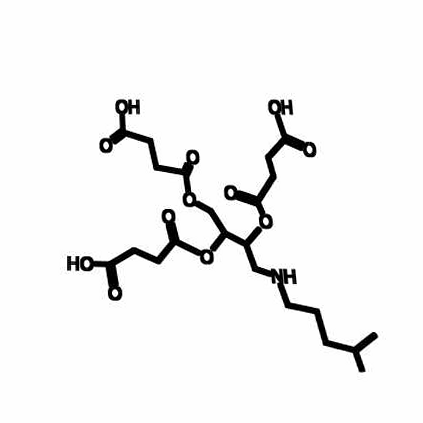 CC(C)CCCNCC(OC(=O)CCC(=O)O)C(COC(=O)CCC(=O)O)OC(=O)CCC(=O)O